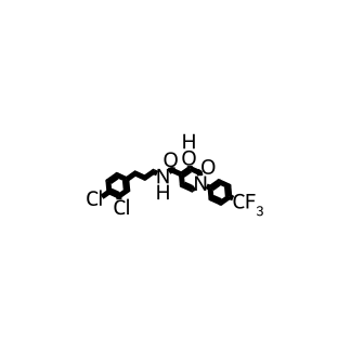 O=C(NCCCc1ccc(Cl)c(Cl)c1)c1ccn(-c2ccc(C(F)(F)F)cc2)c(=O)c1O